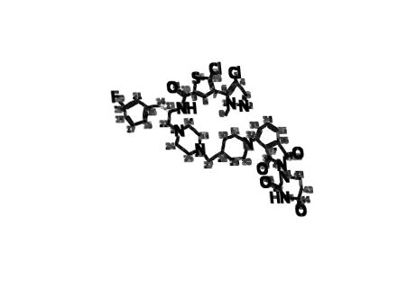 Cn1ncc(Cl)c1-c1cc(C(=O)N[C@@H](Cc2cccc(F)c2)CN2CCN(CC3CCN(c4cccc5c4C(=O)N(N4CCC(=O)NC4=O)C5=O)CC3)CC2)sc1Cl